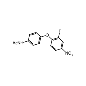 CC(=O)Nc1ccc(Oc2ccc([N+](=O)[O-])cc2F)cc1